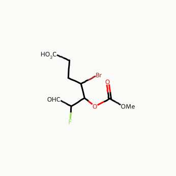 COC(=O)OC(C(F)C=O)C(Br)CCC(=O)O